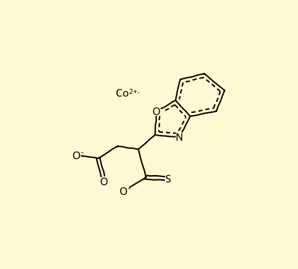 O=C([O-])CC(C([O-])=S)c1nc2ccccc2o1.[Co+2]